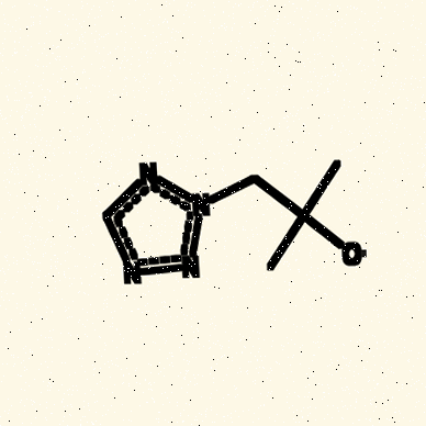 CC(C)([O])Cn1ncnn1